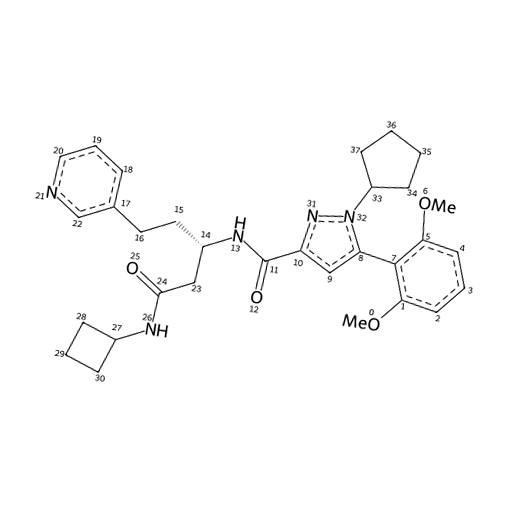 COc1cccc(OC)c1-c1cc(C(=O)N[C@@H](CCc2cccnc2)CC(=O)NC2CCC2)nn1C1CCCC1